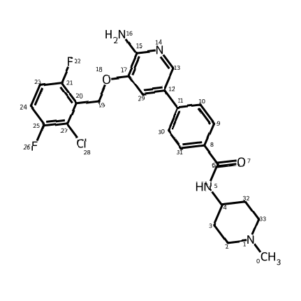 CN1CCC(NC(=O)c2ccc(-c3cnc(N)c(OCc4c(F)ccc(F)c4Cl)c3)cc2)CC1